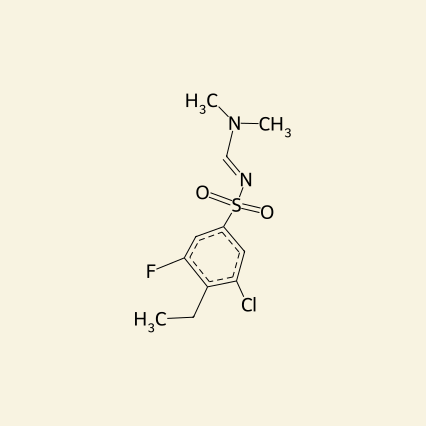 CCc1c(F)cc(S(=O)(=O)/N=C/N(C)C)cc1Cl